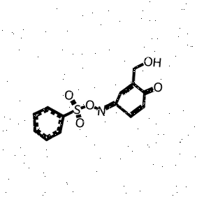 O=C1C=CC(=NOS(=O)(=O)c2ccccc2)C=C1CO